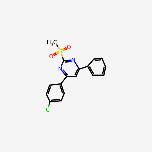 CS(=O)(=O)c1nc(-c2ccccc2)cc(-c2ccc(Cl)cc2)n1